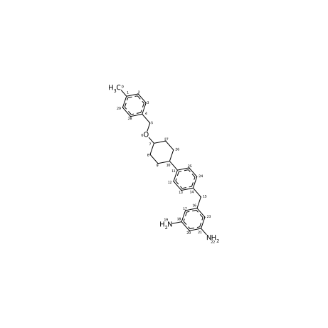 Cc1ccc(COC2CCC(c3ccc(Cc4cc(N)cc(N)c4)cc3)CC2)cc1